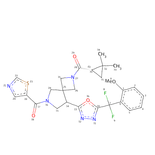 COc1ccccc1C(F)(F)c1nnc(C2CN(C(=O)c3cncs3)CC23CN(C(=O)[C@H]2CC2(C)C)C3)o1